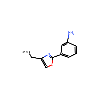 COCc1coc(-c2cccc(N)c2)n1